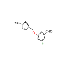 CC(C)(C)c1ccc(COc2cc(F)cc(C=O)c2)cc1